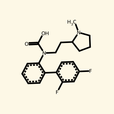 CN1CCCC1CCN(C(=O)O)c1ccccc1-c1ccc(F)cc1F